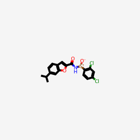 CC(C)c1ccc2cc(C(=O)N[S+]([O-])c3ccc(Cl)cc3Cl)oc2c1